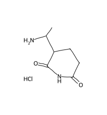 CC(N)C1CCC(=O)NC1=O.Cl